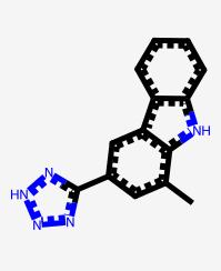 Cc1cc(-c2nn[nH]n2)cc2c1[nH]c1ccccc12